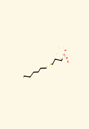 CCO[Si](CCCSCCCCCCS)(OCC)OCC